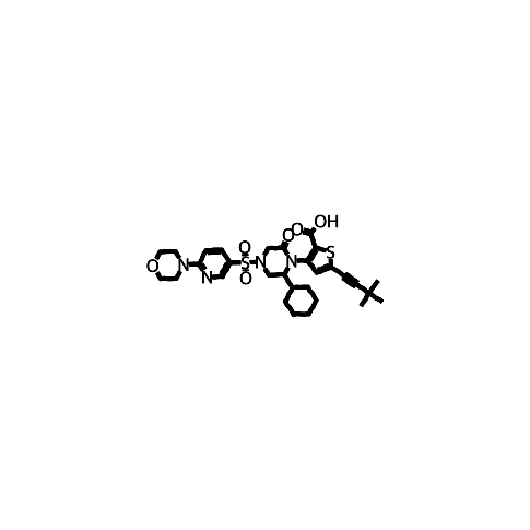 CC(C)(C)C#Cc1cc(N2C(=O)CN(S(=O)(=O)c3ccc(N4CCOCC4)nc3)CC2C2CCCCC2)c(C(=O)O)s1